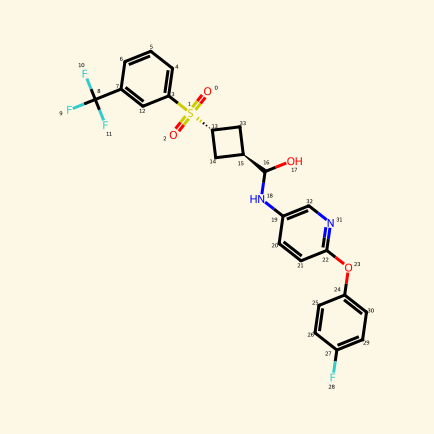 O=S(=O)(c1cccc(C(F)(F)F)c1)[C@H]1C[C@H](C(O)Nc2ccc(Oc3ccc(F)cc3)nc2)C1